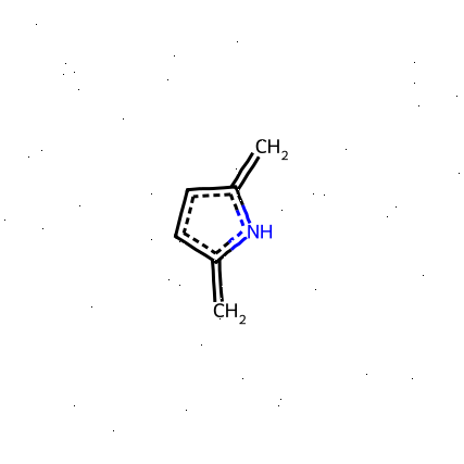 C=c1ccc(=C)[nH]1